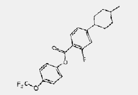 CC1CCC(c2ccc(C(=O)Oc3ccc(OC(F)(F)F)cc3)c(F)c2)CC1